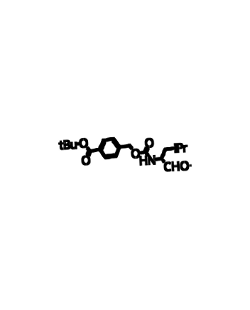 CC(C)C[C@@H]([C]=O)NC(=O)OCc1ccc(C(=O)OC(C)(C)C)cc1